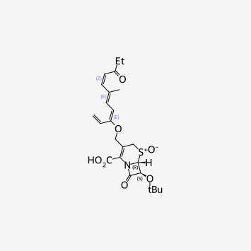 C=C\C(=C/C=C(C)/C=C\C(=O)CC)OCC1=C(C(=O)O)N2C(=O)[C@H](OC(C)(C)C)[C@H]2[S+]([O-])C1